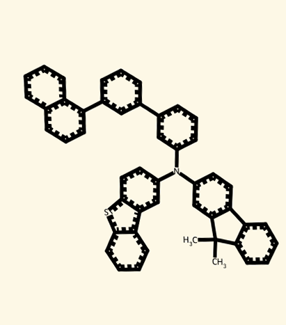 CC1(C)c2ccccc2-c2ccc(N(c3cccc(-c4cccc(-c5cccc6ccccc56)c4)c3)c3ccc4sc5ccccc5c4c3)cc21